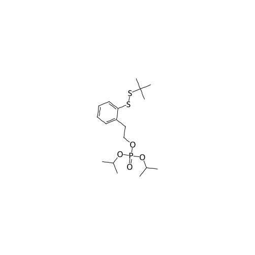 CC(C)OP(=O)(OCCc1ccccc1SSC(C)(C)C)OC(C)C